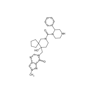 Cn1cc2ncn(CC3(O)CCN(C(=O)N4CCNCC4c4ccccc4)CC34CCCC4)c(=O)c2n1